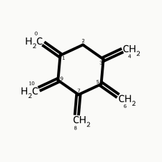 C=C1CC(=C)C(=C)C(=C)C1=C